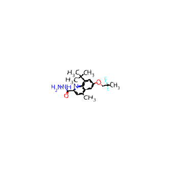 Cc1cc(C(=O)NN)nc2c(C(C)(C)C)cc(OCC(C)(F)F)cc12